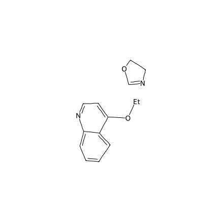 C1=NCCO1.CCOc1ccnc2ccccc12